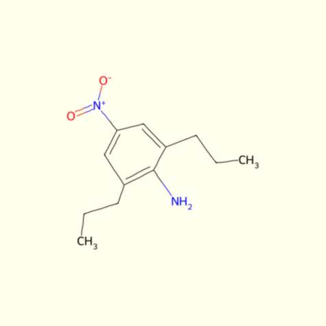 CCCc1cc([N+](=O)[O-])cc(CCC)c1N